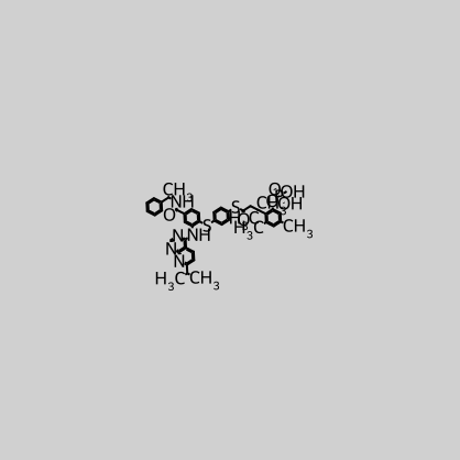 Cc1cc(C)c(C(C)(C)CC(=O)Sc2ccc(Sc3ccc(C(=O)N[C@@H](C)c4ccccc4)cc3Nc3ncnc4nc(C(C)C)ccc34)cc2)c(OP(=O)(O)O)c1